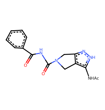 CC(=O)Nc1[nH]nc2c1CN(C(=O)NC(=O)c1ccccc1)C2